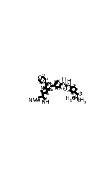 CNCC(C=N)c1cnc2c(N3CCOCC3)nc(-c3ccc(NC(=O)Nc4ccc(C(=O)N(C)C)cc4)nc3)nc2c1